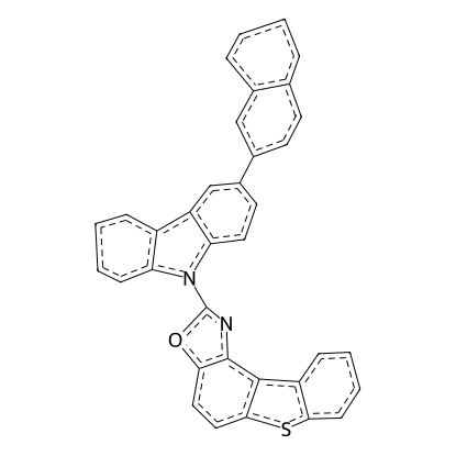 c1ccc2cc(-c3ccc4c(c3)c3ccccc3n4-c3nc4c(ccc5sc6ccccc6c54)o3)ccc2c1